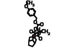 C=C(CC(=O)OCc1ccc(OC)cc1)C(=O)OC1C2CCC1CN(S(C)(=O)=O)C2